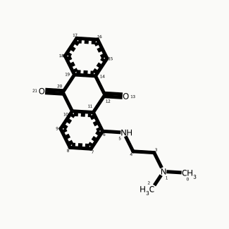 CN(C)CCNc1cccc2c1C(=O)c1ccccc1C2=O